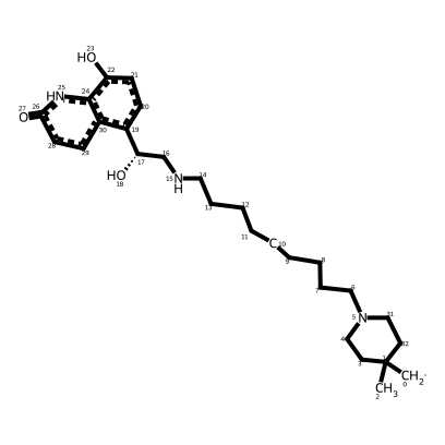 [CH2]C1(C)CCN(CCCCCCCCCNC[C@H](O)c2ccc(O)c3[nH]c(=O)ccc23)CC1